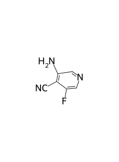 N#Cc1c(N)cncc1F